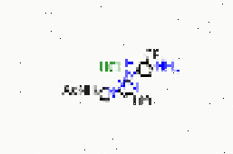 CCCc1cc(N2CC[C@H](NC(C)=O)C2)nc(Nc2ccc(N)c(C(F)(F)F)c2)n1.Cl